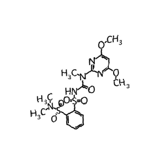 COc1cc(OC)nc(N(C)C(=O)NS(=O)(=O)c2ccccc2S(=O)(=O)N(C)C)n1